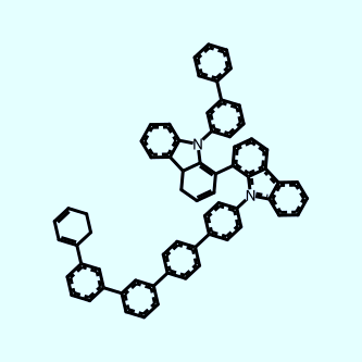 C1=CCCC(c2cccc(-c3cccc(-c4ccc(-c5ccc(-n6c7ccccc7c7cccc(C8=C9C(CC=C8)c8ccccc8N9c8cccc(-c9ccccc9)c8)c76)cc5)cc4)c3)c2)=C1